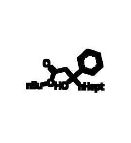 CCCCCCCC(O)(CC(=O)OCCCC)c1ccccc1